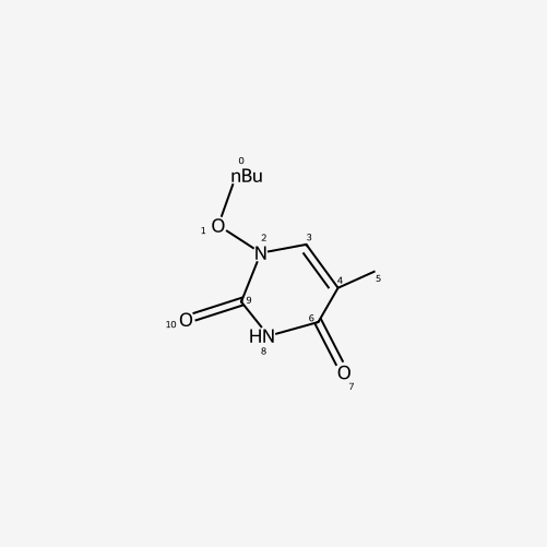 CCCCOn1cc(C)c(=O)[nH]c1=O